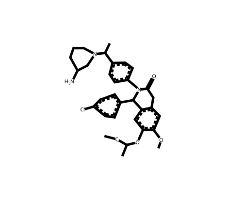 CCC(C)Oc1cc2c(cc1OC)CC(=O)N(c1ccc(C(C)N3CCCC(N)C3)cc1)C2c1ccc(Cl)cc1